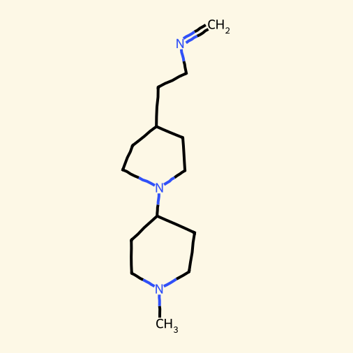 C=NCCC1CCN(C2CCN(C)CC2)CC1